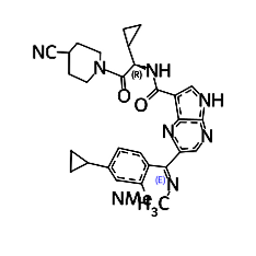 C/N=C(/c1cnc2[nH]cc(C(=O)N[C@@H](C(=O)N3CCC(C#N)CC3)C3CC3)c2n1)c1ccc(C2CC2)cc1NC